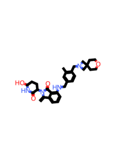 C=C1c2cccc(NCc3ccc(CN4CC5(CCOCC5)C4)c(C)c3)c2C(=O)N1C1CCC(O)NC1=O